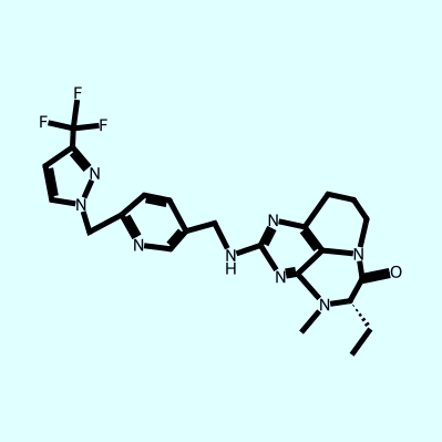 CC[C@H]1C(=O)N2CCCc3nc(NCc4ccc(Cn5ccc(C(F)(F)F)n5)nc4)nc(c32)N1C